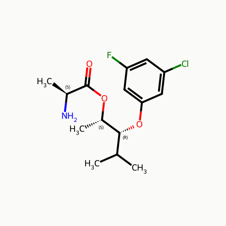 CC(C)[C@@H](Oc1cc(F)cc(Cl)c1)[C@H](C)OC(=O)[C@H](C)N